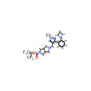 CCn1cc(CN2CC3CN(C(=O)OC(C(F)(F)F)C(F)(F)F)CC3C2)c(-c2ccccc2N2CCC2)n1